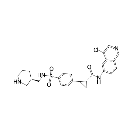 O=C(Nc1ccc2cncc(Cl)c2c1)[C@@H]1CC1c1ccc(S(=O)(=O)NC[C@@H]2CCCNC2)cc1